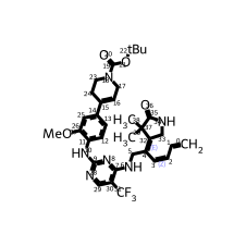 C=C/C=C\C(CNc1nc(Nc2ccc(C3=CCN(C(=O)OC(C)(C)C)CC3)cc2OC)ncc1C(F)(F)F)=C1/CNC(=O)C1(C)C